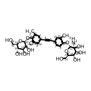 Cc1cc(C#Cc2ccc(O[C@H]3O[C@H](CO)[C@@H](O)[C@H](O)[C@]3(N)O)c(C)c2)ccc1O[C@H]1O[C@H](CO)[C@@H](O)[C@H](O)[C@]1(C)O